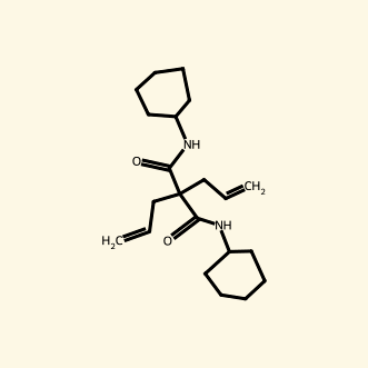 C=CCC(CC=C)(C(=O)NC1CCCCC1)C(=O)NC1CCCCC1